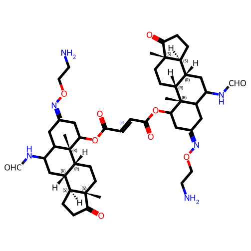 C[C@]12C(OC(=O)/C=C/C(=O)OC3CC(=NOCCN)CC4C(NC=O)C[C@@H]5[C@@H](CC[C@]6(C)C(=O)CC[C@@H]56)[C@@]34C)CC(=NOCCN)CC1C(NC=O)C[C@@H]1[C@H]2CC[C@]2(C)C(=O)CC[C@@H]12